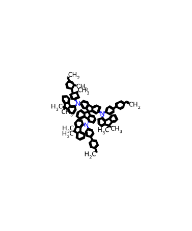 C=CC1=CC(C)C(C2C=CC(N(c3ccc4c(c3)C3(c5cc(N(c6ccc(-c7ccc(C=C)cc7)cc6)c6cccc7c6-c6ccccc6C7(C)C)ccc5-4)c4ccccc4-c4c(N(c5ccc(-c6ccc(C=C)cc6)cc5)c5cccc6c5-c5ccccc5C6(C)C)cccc43)c3cccc4c3-c3ccccc3C4(C)C)=CC2C)C=C1